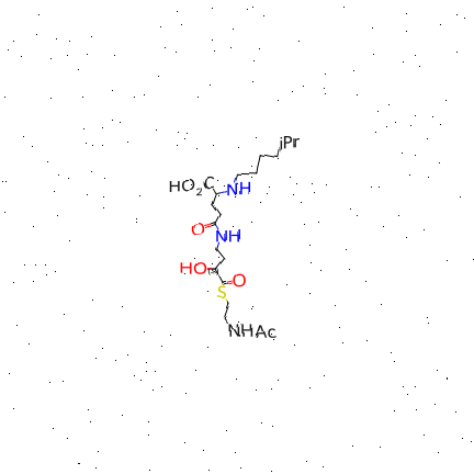 CC(=O)NCCSC(=O)[C@@H](O)CCNC(=O)CCC(NCCCCC(C)C)C(=O)O